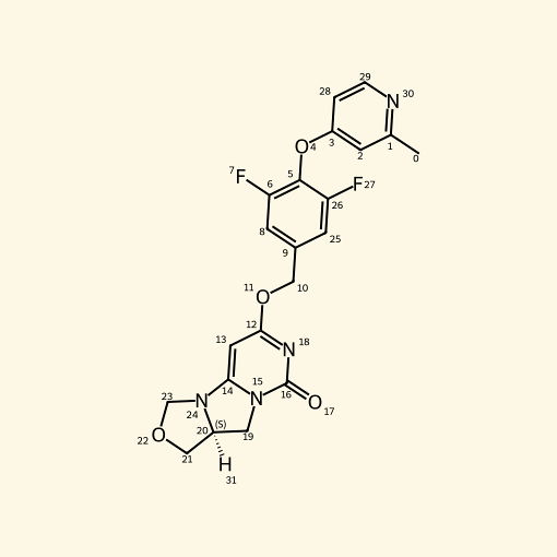 Cc1cc(Oc2c(F)cc(COc3cc4n(c(=O)n3)C[C@H]3COCN43)cc2F)ccn1